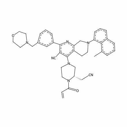 C=CC(=O)N1CCN(c2c(C#N)c(-c3cccc(CN4CCOCC4)c3)nc3c2CCN(c2cccc4cccc(C)c24)C3)C[C@@H]1CC#N